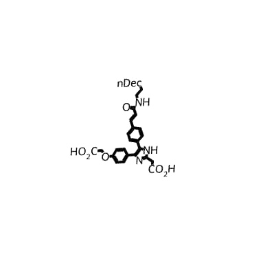 CCCCCCCCCCCCNC(=O)C=Cc1ccc(-c2[nH]c(CC(=O)O)nc2-c2ccc(OCC(=O)O)cc2)cc1